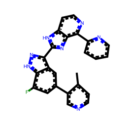 Cc1ccncc1-c1cc(F)c2[nH]nc(-c3nc4c(-c5ccccn5)nccc4[nH]3)c2c1